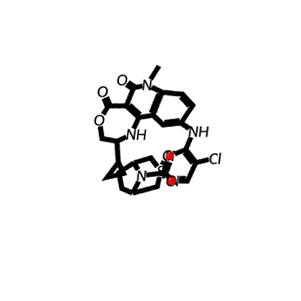 Cn1c(=O)c2c(c3cc(Nc4nc(N5C6CCC5CS(=O)(=O)C6)ncc4Cl)ccc31)NC(C1CC1)COC2=O